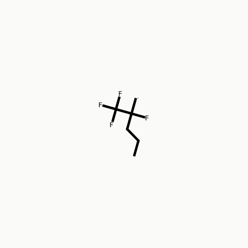 [CH2]C(F)(CCC)C(F)(F)F